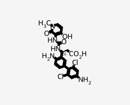 Cn1ccc(O)c(NC(=O)N[C@@H](CC(=O)O)c2cc(-c3c(Cl)cc(N)cc3Cl)ccc2N)c1=O